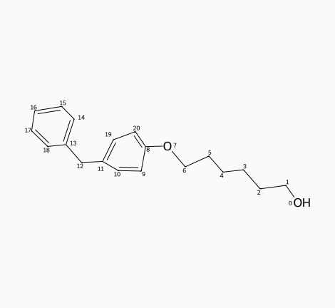 OCCCCCCOc1ccc(Cc2ccccc2)cc1